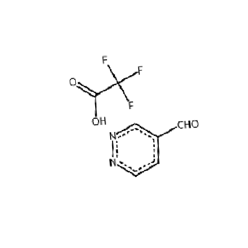 O=C(O)C(F)(F)F.O=Cc1ccnnc1